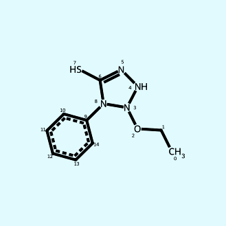 CCON1NN=C(S)N1c1ccccc1